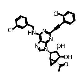 CC(=O)[C@]12CC1[C@@H](n1cnc3c(NCc4cccc(Cl)c4)nc(C#Cc4ccccc4Cl)nc31)[C@H](O)C2O